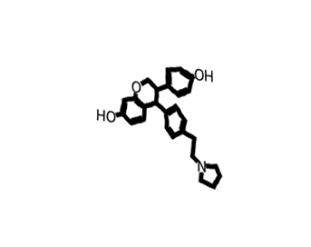 Oc1ccc(C2COc3cc(O)ccc3C2c2ccc(CCN3CCCC3)cc2)cc1